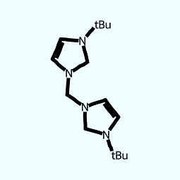 CC(C)(C)N1C=CN(CN2C=CN(C(C)(C)C)C2)C1